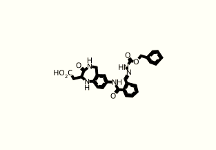 O=C(O)CC1Nc2ccc(NC(=O)c3ccccc3C=NNC(=O)OCc3ccccc3)cc2CNC1=O